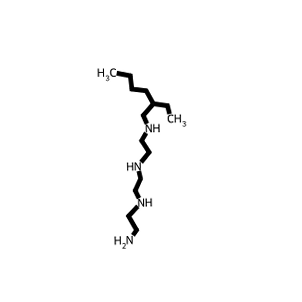 CCCCC(CC)CNCCNCCNCCN